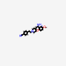 COc1ccc2c(c1)C(N)CC1(CCN(CCc3ccc(C#N)cc3)CC1)O2